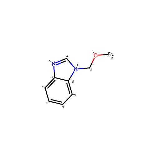 CCOCn1cnc2ccccc21